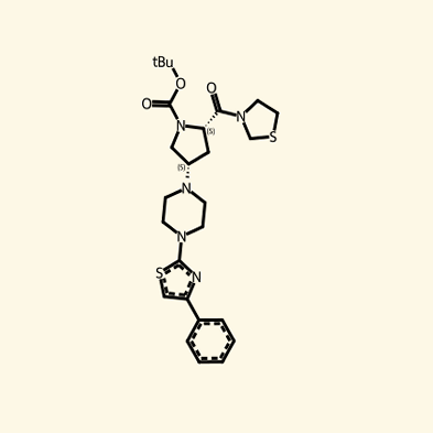 CC(C)(C)OC(=O)N1C[C@@H](N2CCN(c3nc(-c4ccccc4)cs3)CC2)C[C@H]1C(=O)N1CCSC1